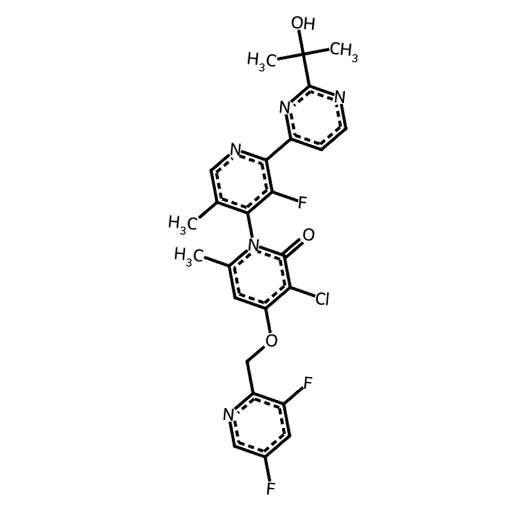 Cc1cnc(-c2ccnc(C(C)(C)O)n2)c(F)c1-n1c(C)cc(OCc2ncc(F)cc2F)c(Cl)c1=O